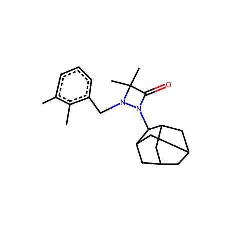 Cc1cccc(CN2N(C3C4CC5CC(C4)CC3C5)C(=O)C2(C)C)c1C